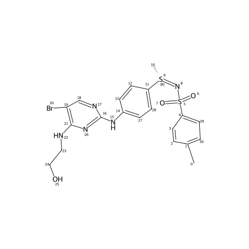 Cc1ccc(S(=O)(=O)N=[S@@](C)c2ccc(Nc3ncc(Br)c(NCCO)n3)cc2)cc1